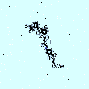 COCCCNC(=O)c1ccc(/C=C/C(=O)NCC(=O)N(C)c2ccc(Cl)c(COc3cccn4c(Br)c(C)nc34)c2Cl)cc1